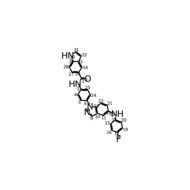 O=C(Nc1ccc(-n2ncc3cc(Nc4ccc(F)cc4)ccc32)cc1)c1ccc2[nH]ccc2c1